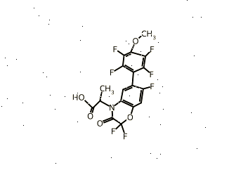 COc1c(F)c(F)c(-c2cc3c(cc2F)OC(F)(F)C(=O)N3C(C)C(=O)O)c(F)c1F